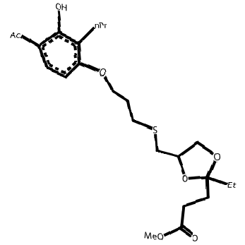 CCCc1c(OCCCSCC2COC(CC)(CCC(=O)OC)O2)ccc(C(C)=O)c1O